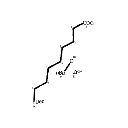 CCCCCCCCCCCCCCCCCC(=O)[O-].CCCC[O-].[Zr+2]